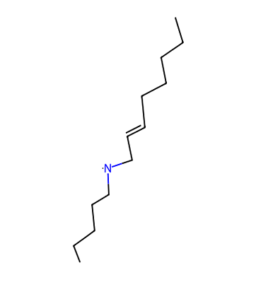 CCCCCC=CC[N]CCCCC